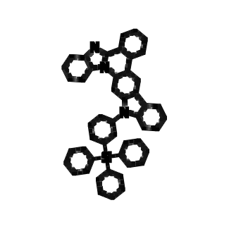 c1ccc([Si](c2ccccc2)(c2ccccc2)c2cccc(-n3c4ccccc4c4cc5c6ccccc6c6nc7ccccc7n6c5cc43)c2)cc1